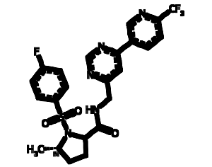 C[C@H]1CCC(C(=O)NCc2cc(-c3ccc(C(F)(F)F)nc3)ncn2)N1S(=O)(=O)c1ccc(F)cc1